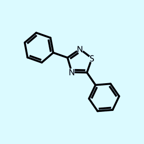 c1ccc(-c2nsc(-c3ccccc3)n2)cc1